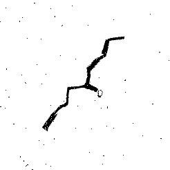 C=CCCC(=O)CC=CC